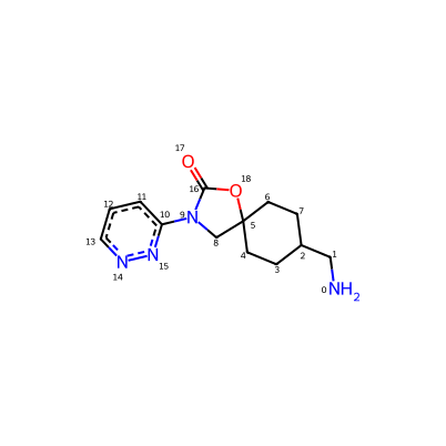 NCC1CCC2(CC1)CN(c1cccnn1)C(=O)O2